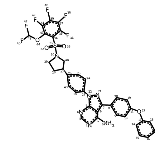 Nc1ncnc2c1c(-c1ccc(Oc3ccccc3)cc1)nn2-c1ccc([C@H]2CCN(S(=O)(=O)c3c(F)c(F)c(F)c(F)c3OC(F)F)C2)cc1